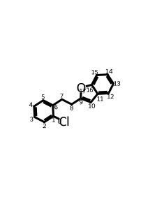 Clc1ccccc1CCc1cc2ccccc2o1